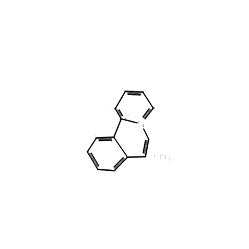 C.c1ccc2c(c1)cc[n+]1ccccc21